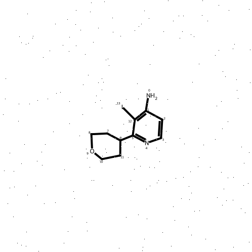 Nc1ccnc(C2CCOCC2)c1I